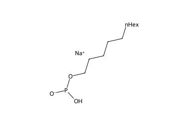 CCCCCCCCCCCOP([O-])O.[Na+]